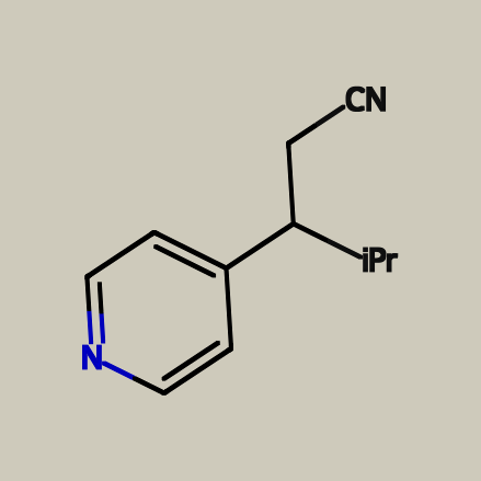 CC(C)C(CC#N)c1ccncc1